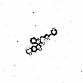 O=C1N(Cc2cc(-c3cccnc3)no2)c2ccccc2C12COc1cc3c(cc12)OCCO3